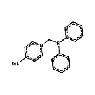 CC(C)(C)c1cc[n+](CB(c2ccccc2)c2ccccc2)cc1